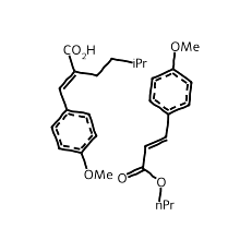 CCCOC(=O)C=Cc1ccc(OC)cc1.COc1ccc(C=C(CCC(C)C)C(=O)O)cc1